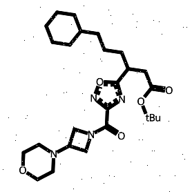 CC(C)(C)OC(=O)CC(CCCC1CCCCC1)c1nc(C(=O)N2CC(N3CCOCC3)C2)no1